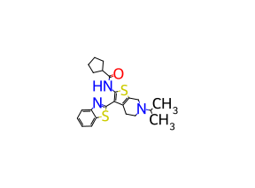 CC(C)N1CCc2c(sc(NC(=O)C3CCCC3)c2-c2nc3ccccc3s2)C1